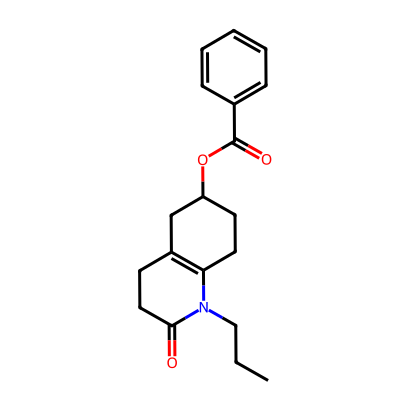 CCCN1C(=O)CCC2=C1CCC(OC(=O)c1ccccc1)C2